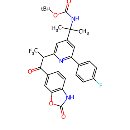 CC(C)(C)OC(=O)NC(C)(C)c1cc(-c2ccc(F)cc2)nc(C(C(=O)c2ccc3[nH]c(=O)oc3c2)C(F)(F)F)c1